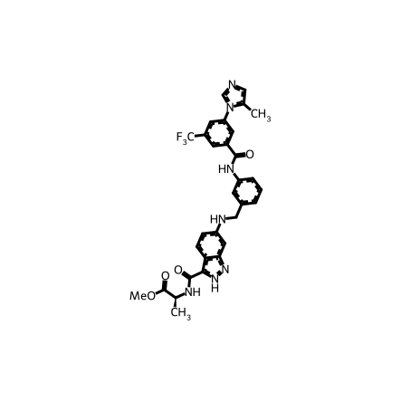 COC(=O)[C@H](C)NC(=O)c1[nH]nc2cc(NCc3cccc(NC(=O)c4cc(-n5cncc5C)cc(C(F)(F)F)c4)c3)ccc12